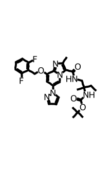 CCC(C)(CNC(=O)c1c(C)nc2c(OCc3c(F)cccc3F)cc(-n3cccn3)cn12)NC(=O)OC(C)(C)C